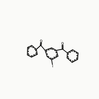 O=C(c1ccccc1)c1cc(I)cc(C(=O)c2ccccc2)c1